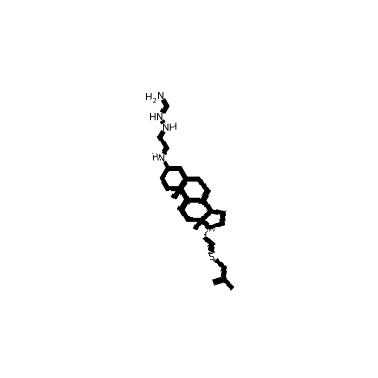 CC(C)CSCC[C@H]1CCC2C3CCC4CC(NCCNNCN)CCC4(C)C3CCC21C